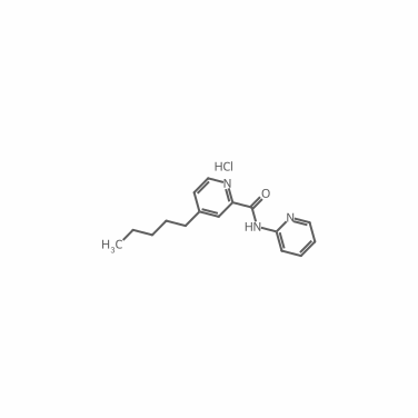 CCCCCc1ccnc(C(=O)Nc2ccccn2)c1.Cl